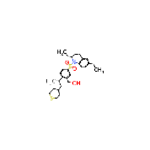 CCc1ccc2c(c1)CCC(CC)N2S(=O)(=O)c1ccc(C(C)CC2CCSCC2)c(CO)c1